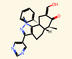 C[C@@H]1C(=O)/C(=C\O)C[C@]2(c3ccccc3)c3c(c(-c4cncnc4)nn3C)CC[C@@H]12